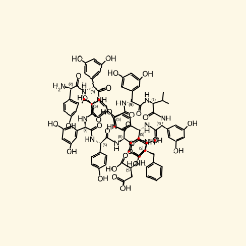 CC(C)[C@H](NC(=O)[C@H](NC(=O)[C@@H](NC(=O)[C@H](NC(=O)[C@@H](NC(=O)[C@H](NC(=O)[C@@H](NC(=O)[C@H](NC(=O)[C@H](N)c1ccc(O)cc1)c1cc(O)cc(O)c1)C(C)C)c1cc(O)cc(O)c1)c1ccc(O)cc1)c1cc(O)cc(O)c1)c1ccc(O)cc1)c1cc(O)cc(O)c1)C(=O)N[C@@H](C(=O)N[C@H](C(=O)N[C@@H](Cc1ccccc1)C(=O)N[C@@H](CC(=O)O)C(=O)O)c1ccc(O)cc1)c1cc(O)cc(O)c1